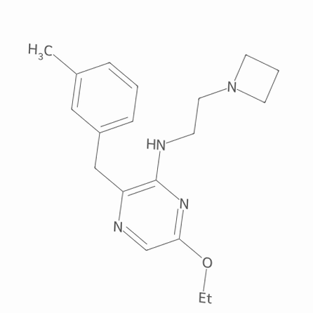 CCOc1cnc(Cc2cccc(C)c2)c(NCCN2CCC2)n1